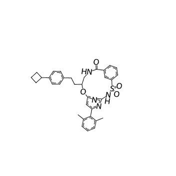 Cc1cccc(C)c1-c1cc2nc(n1)NS(=O)(=O)c1cccc(c1)C(=O)NCC(CCc1ccc(C3CCC3)cc1)O2